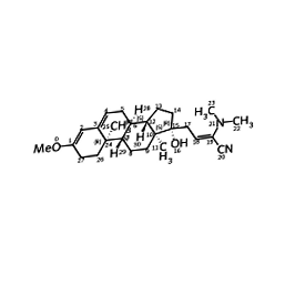 COC1=CC2=CC[C@@H]3[C@H](CC[C@@]4(C)[C@H]3CC[C@@]4(O)CC=C(C#N)N(C)C)[C@@]2(C)CC1